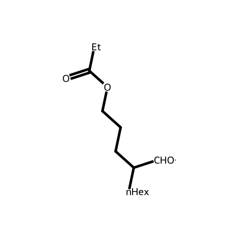 CCCCCCC([C]=O)CCCOC(=O)CC